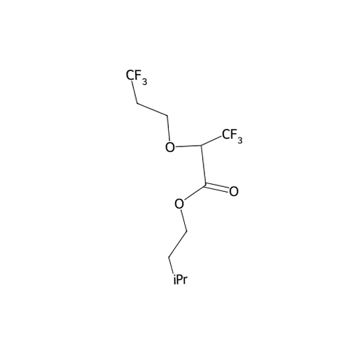 CC(C)CCOC(=O)C(OCCC(F)(F)F)C(F)(F)F